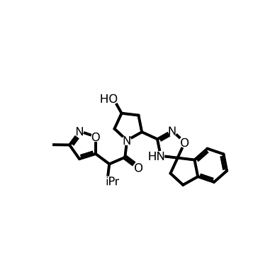 Cc1cc(C(C(=O)N2CC(O)CC2C2=NOC3(CCc4ccccc43)N2)C(C)C)on1